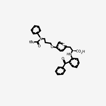 CC(C)(C)C(=O)N(CCCOc1ccc(C[C@H](Nc2ccccc2C(=O)c2ccccc2)C(=O)O)cc1)c1ccccc1